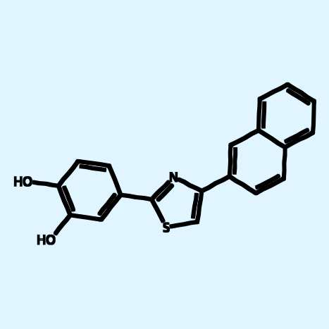 Oc1ccc(-c2nc(-c3ccc4ccccc4c3)cs2)cc1O